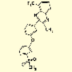 Cc1nc2cccc(C(F)(F)F)c2nc1-c1cccc(Oc2cccc(S(C)(=O)=O)c2)c1